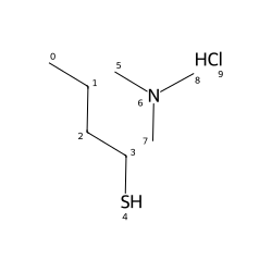 CCCCS.CN(C)C.Cl